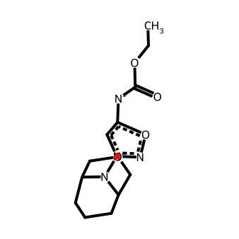 CCOC(=O)[N-]c1c[n+](N2C3CCCC2COC3)no1